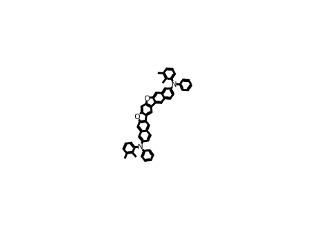 Cc1cccc(N(c2ccccc2)c2ccc3cc4c(cc3c2)oc2cc3oc5cc6cc(N(c7ccccc7)c7cccc(C)c7C)ccc6cc5c3cc24)c1C